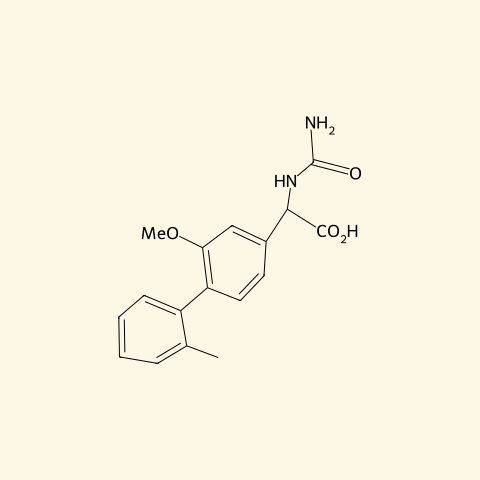 COc1cc(C(NC(N)=O)C(=O)O)ccc1-c1ccccc1C